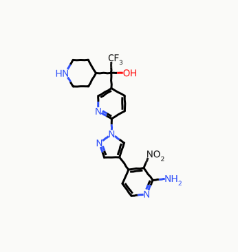 Nc1nccc(-c2cnn(-c3ccc(C(O)(C4CCNCC4)C(F)(F)F)cn3)c2)c1[N+](=O)[O-]